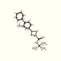 CC(C)(C)OC(=O)N1CC(c2ccc(-c3ccccc3)c(Cl)c2)C1